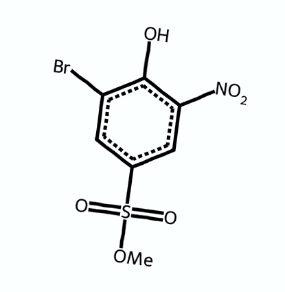 COS(=O)(=O)c1cc(Br)c(O)c([N+](=O)[O-])c1